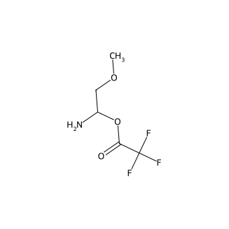 COCC(N)OC(=O)C(F)(F)F